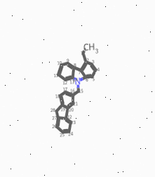 CCc1cccc2c1c1ccccc1n2Cc1ccc2c(c1)-c1ccccc1C2